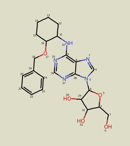 OCC1OC(n2cnc3c(NC4CCCCC4OCc4ccccc4)ncnc32)C(O)C1O